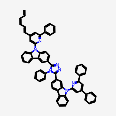 C=C/C=C\C=C\c1cc(-c2ccccc2)nc(-n2c3ccccc3c3cc(-c4nnc(-c5ccc6c7ccccc7n(-c7cc(-c8ccccc8)cc(-c8ccccc8)n7)c6c5)n4-c4ccccc4)ccc32)c1